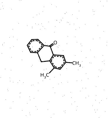 Cc1cc(C)c2c(c1)C(=O)c1ccccc1C2